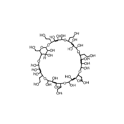 OCCC1OC(O)/C(O)=C(\O)C(CCO)OC(O)/C(O)=C(/O)C(CCO)OC2OC(CO)C(OC(O)/C(O)=C(/O)C(CCO)OC(O)/C(O)=C(\O)C(CCO)OC(O)/C(O)=C(\O)C(CCO)OC(O)/C(O)=C\1O)[C@@H](O)C2O